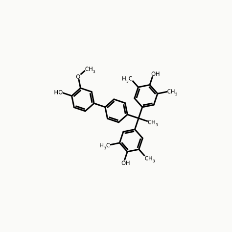 COc1cc(-c2ccc(C(C)(c3cc(C)c(O)c(C)c3)c3cc(C)c(O)c(C)c3)cc2)ccc1O